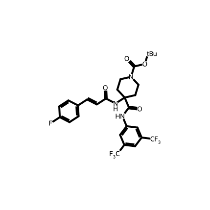 CC(C)(C)OC(=O)N1CCC(NC(=O)/C=C/c2ccc(F)cc2)(C(=O)Nc2cc(C(F)(F)F)cc(C(F)(F)F)c2)CC1